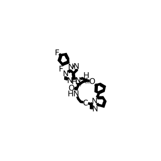 O=C1NCCCc2cnc3cccc(n23)-c2cccc(c2)O[C@H]2C[C@@H]1N(c1ncnc3c1cnn3-c1ccc(F)cc1F)C2